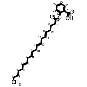 CCCCCC=CCC=CCC=CCC=CCCCC(=O)Oc1ccccc1C(=O)O